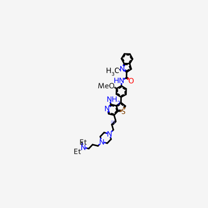 CCN(CC)CCCN1CCN(C/C=C/c2cnc(N)c3c(-c4ccc(NC(=O)c5cc6ccccc6n5C)c(OC)c4)csc23)CC1